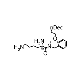 CCCCCCCCCCCCOc1ccccc1CN(C)C(=O)[C@H](N)CCCCN